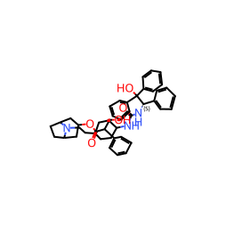 O=C(NC1CCC(CCN2C3CCC2CC(OC(=O)C(CO)c2ccccc2)C3)CC1)N[C@@H](c1ccccc1)C(O)(c1ccccc1)c1ccccc1